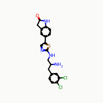 NC(CNc1ncc(-c2ccc3c(c2)CC(=O)N3)s1)Cc1ccc(Cl)c(Cl)c1